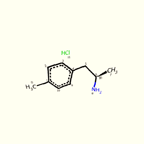 Cc1ccc(C[C@@H](C)N)cc1.Cl